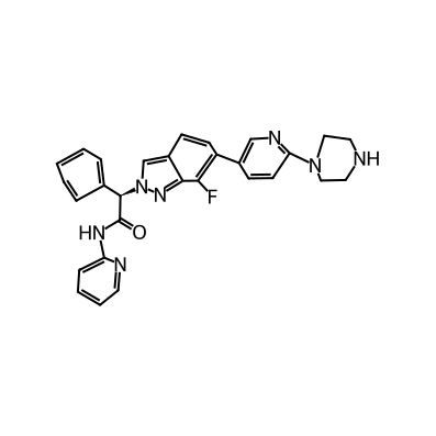 O=C(Nc1ccccn1)[C@@H](c1ccccc1)n1cc2ccc(-c3ccc(N4CCNCC4)nc3)c(F)c2n1